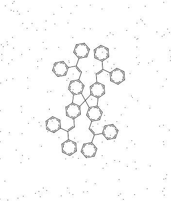 C(=C(c1ccccc1)c1ccccc1)c1ccc2c(c1)C1(c3cc(C=C(c4ccccc4)c4ccccc4)ccc3-2)c2cc(C=C(c3ccccc3)c3ccccc3)ccc2-c2ccc(C=C(c3ccccc3)c3ccccc3)cc21